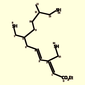 CCOC(=O)C=C(C=CCC(CS)CCC(C)CS)CS